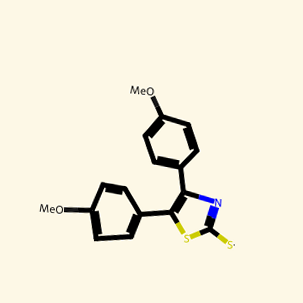 COc1ccc(-c2nc([S])sc2-c2ccc(OC)cc2)cc1